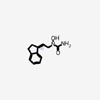 NC(=O)N(O)C/C=C1/CCc2ccccc21